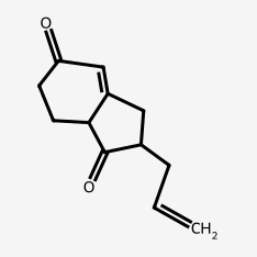 C=CCC1CC2=CC(=O)CCC2C1=O